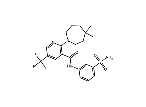 CC1(C)CCCN(c2ncc(C(F)(F)F)cc2C(=O)Nc2cccc(S(N)(=O)=O)c2)CC1